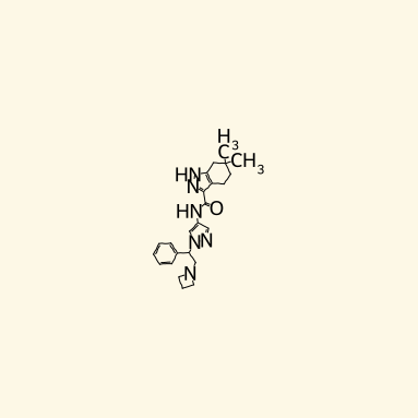 CC1(C)CCc2c(C(=O)Nc3cnn(C(CN4CCC4)c4ccccc4)c3)n[nH]c2C1